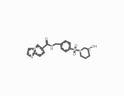 O=C(NCc1ccc(S(=O)(=O)N2CCC[C@H](O)C2)cc1)c1ccc2nccn2c1